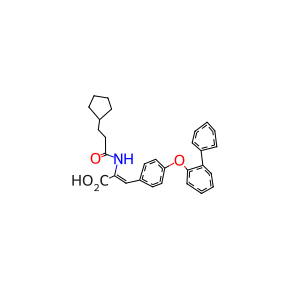 O=C(CCC1CCCC1)NC(=Cc1ccc(Oc2ccccc2-c2ccccc2)cc1)C(=O)O